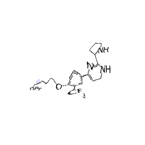 CCC/C=C\CCOc1ccc(C2=CCNC(C3CCCN3)=N2)cc1C(F)(F)F